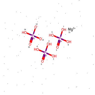 O=P(O)(O)O.O=P(O)(O)O.O=P([O-])([O-])O.[Mg+2]